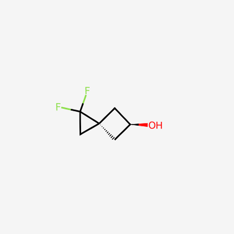 O[C@H]1C[C@@]2(CC2(F)F)C1